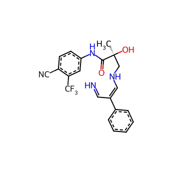 C[C@](O)(CN/C=C(\C=N)c1ccccc1)C(=O)Nc1ccc(C#N)c(C(F)(F)F)c1